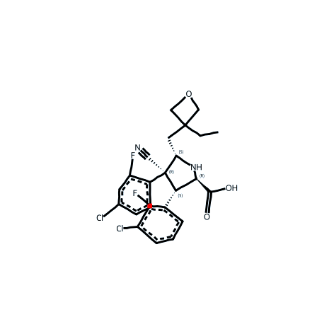 CCC1(C[C@@H]2N[C@@H](C(=O)O)[C@H](c3cccc(Cl)c3F)[C@@]2(C#N)c2ccc(Cl)cc2F)COC1